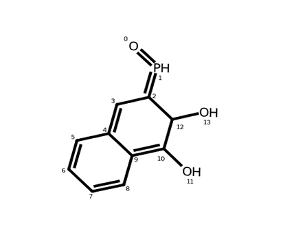 O=[PH]=C1C=c2ccccc2=C(O)C1O